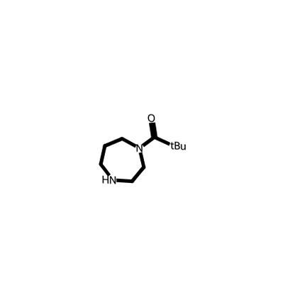 CC(C)(C)C(=O)N1CCCNCC1